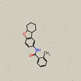 Cc1ccccc1C(=O)Nc1ccc2c(c1)C1CCCCC1O2